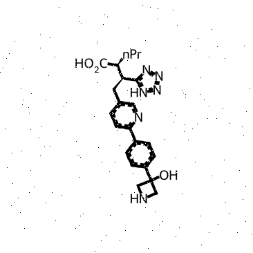 CCC[C@H](C(=O)O)[C@H](Cc1ccc(-c2ccc(C3(O)CNC3)cc2)nc1)c1nnn[nH]1